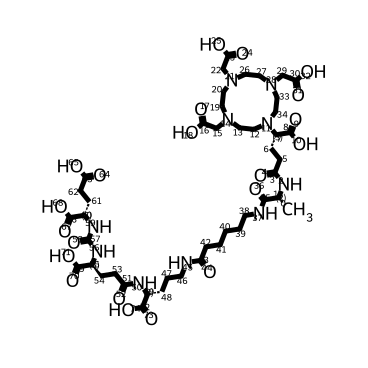 C[C@@H](NC(=O)CC[C@@H](C(=O)O)N1CCN(CC(=O)O)CCN(CC(=O)O)CCN(CC(=O)O)CC1)C(=O)NCCCCCC(=O)NCCC[C@@H](NC(=O)CC[C@H](NC(=O)N[C@@H](CCC(=O)O)C(=O)O)C(=O)O)C(=O)O